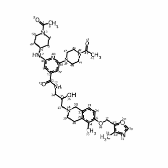 CC(=O)N1CCC(Nc2cc(C(=O)NCC(O)CN3CCc4c(ccc(OCc5ocnc5C)c4C)C3)cc(N3CCN(C(C)=O)CC3)n2)CC1